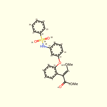 CO/C=C(/C(=O)OC)c1ccccc1Oc1cccc(NS(=O)(=O)c2ccccc2)c1